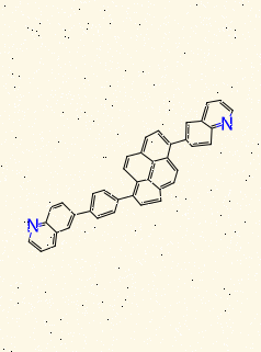 c1cnc2ccc(-c3ccc(-c4ccc5ccc6c(-c7ccc8ncccc8c7)ccc7ccc4c5c76)cc3)cc2c1